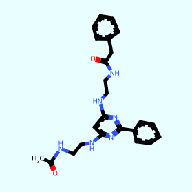 CC(=O)NCCNc1cc(NCCNC(=O)Cc2ccccc2)nc(-c2ccccc2)n1